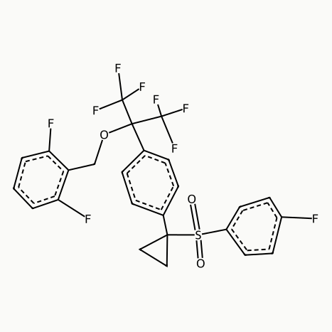 O=S(=O)(c1ccc(F)cc1)C1(c2ccc(C(OCc3c(F)cccc3F)(C(F)(F)F)C(F)(F)F)cc2)CC1